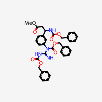 COC(=O)CC(NC(=O)OCc1ccccc1)c1cccc(N(C(=N)NC(=O)OCc2ccccc2)C(=O)OCc2ccccc2)c1